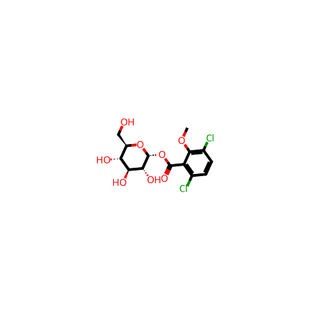 COc1c(Cl)ccc(Cl)c1C(=O)O[C@H]1O[C@H](CO)[C@@H](O)[C@H](O)[C@H]1O